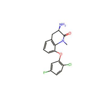 CN1C(=O)[C@H](N)Cc2cccc(Oc3cc(F)ccc3Cl)c21